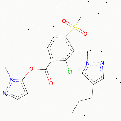 CCCc1cnn(Cc2c(S(C)(=O)=O)ccc(C(=O)Oc3ccnn3C)c2Cl)c1